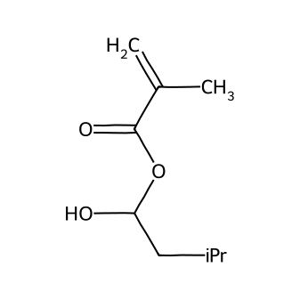 C=C(C)C(=O)OC(O)CC(C)C